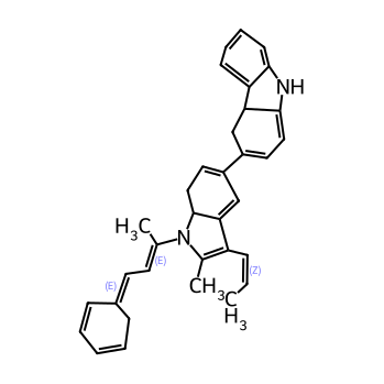 C/C=C\C1=C(C)N(/C(C)=C/C=C2/C=CC=CC2)C2CC=C(C3=CC=C4Nc5ccccc5C4C3)C=C12